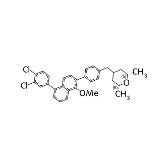 COc1c(-c2ccc(CC3C[C@@H](C)O[C@@H](C)C3)cc2)ccc2c(-c3ccc(Cl)c(Cl)c3)cccc12